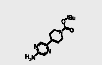 CC(C)(C)OC(=O)N1CC=C(c2cnc(N)cn2)CC1